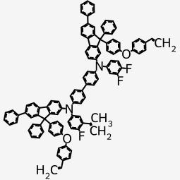 C=Cc1ccc(Oc2ccc(C3(c4ccccc4)c4cc(-c5ccccc5)ccc4-c4ccc(N(c5ccc(-c6ccc(N(c7ccc(F)c(C(=C)C)c7)c7ccc8c(c7)C(c7ccccc7)(c7ccc(Oc9ccc(C=C)cc9)cc7)c7cc(-c9ccccc9)ccc7-8)cc6)cc5)c5ccc(F)c(F)c5)cc43)cc2)cc1